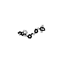 Cn1c(C(=O)Nc2cccc(COc3ccc(O[C@@H]4C[C@H]5CC[C@@H](C4)N5)cc3)c2)cc2sccc21